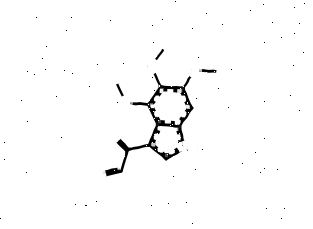 COc1cc2[nH]cc(C(=O)C=O)c2c(OC)c1OC